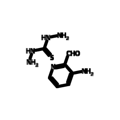 NNC(=S)NN.Nc1cccnc1C=O